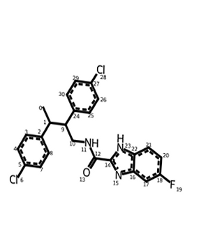 CC(c1ccc(Cl)cc1)C(CNC(=O)c1nc2cc(F)ccc2[nH]1)c1ccc(Cl)cc1